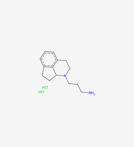 Cl.Cl.NCCCN1CCc2cccc3c2C1CC3